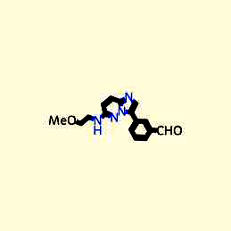 COCCNc1ccc2ncc(-c3cccc(C=O)c3)n2n1